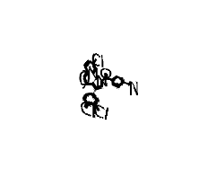 C[C@@H](Oc1ccc(Cl)cn1)[C@@H]1CN(C(=O)c2ccc(C#N)cc2)C[C@@H]1c1ccc(Cl)c(Cl)c1